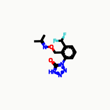 CC(C)=NOCc1c(C(F)F)cccc1-n1nn[nH]c1=O